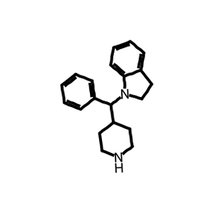 c1ccc(C(C2CCNCC2)N2CCc3ccccc32)cc1